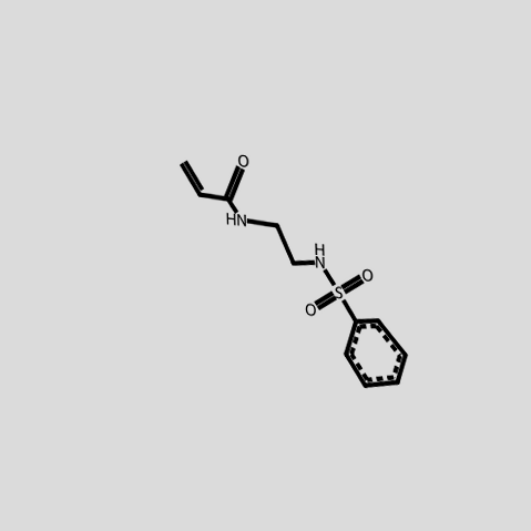 C=CC(=O)NCCNS(=O)(=O)c1ccccc1